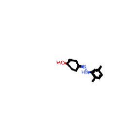 Cc1ccc(C)c(NN=C2CCC(O)CC2)c1